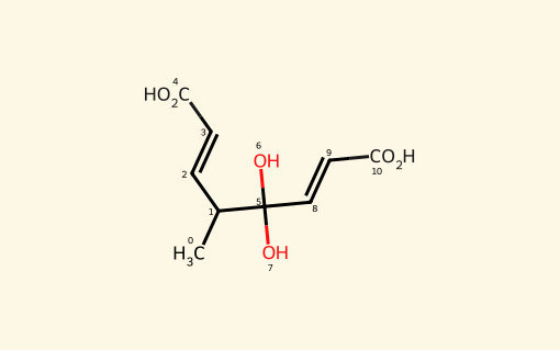 CC(C=CC(=O)O)C(O)(O)C=CC(=O)O